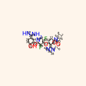 CCOC(=O)C1C2CCC1N(c1ccc(Oc3c(F)cnc(Oc4cc(C(=N)N)ccc4O)c3F)c(C3N=CCN3C)c1)C2